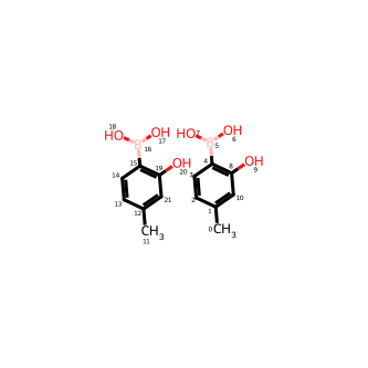 Cc1ccc(B(O)O)c(O)c1.Cc1ccc(B(O)O)c(O)c1